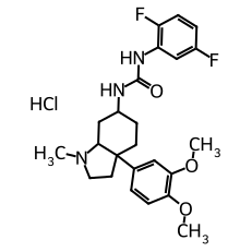 COc1ccc(C23CCC(NC(=O)Nc4cc(F)ccc4F)CC2N(C)CC3)cc1OC.Cl